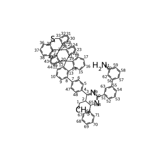 CCC1C(c2ccc(-c3cccc4c3-c3ccccc3C43c4ccccc4C4(c5ccccc5Sc5ccccc54)c4ccccc43)cc2)=NC(c2cccc(-c3cccc(N)c3)c2)=NC1c1ccccc1